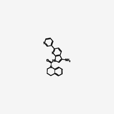 NC1=C[SH](C(=O)N2CCCc3ccccc32)c2nc(-c3cccnc3)ccc21